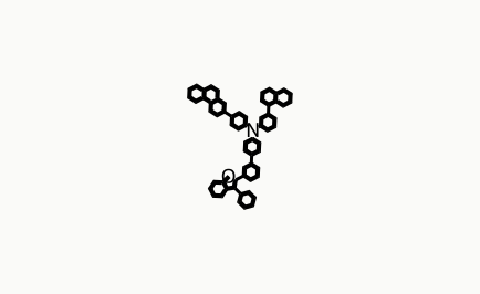 c1ccc(-c2c(-c3cccc(-c4ccc(N(c5ccc(-c6ccc7c(ccc8ccccc87)c6)cc5)c5cccc(-c6cccc7ccccc67)c5)cc4)c3)oc3ccccc23)cc1